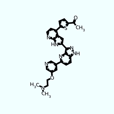 CC(=O)c1ccc(-c2ccnc3[nH]c(-c4n[nH]c5ccc(-c6cncc(OCCN(C)C)c6)nc45)cc23)s1